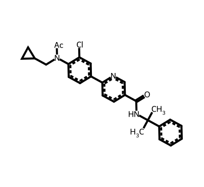 CC(=O)N(CC1CC1)c1ccc(-c2ccc(C(=O)NC(C)(C)c3ccccc3)cn2)cc1Cl